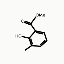 COC(=O)c1c[c]cc(C)c1O